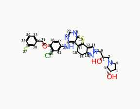 O[C@H](CN1CC[C@H](O)C1)Cn1cc2c(n1)CCc1c-2sc2ncnc(Nc3ccc(OCc4cccc(F)c4)c(Cl)c3)c12